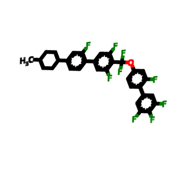 CC1CCC(c2ccc(-c3cc(F)c(C(F)(F)Oc4ccc(-c5cc(F)c(F)c(F)c5)c(F)c4)c(F)c3)c(F)c2)CC1